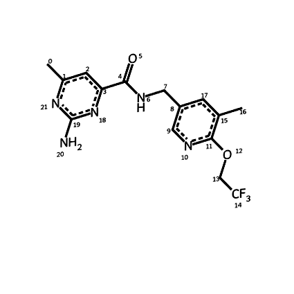 Cc1cc(C(=O)NCc2cnc(OCC(F)(F)F)c(C)c2)nc(N)n1